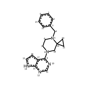 c1ccc(CN2CCN(c3ncnc4[nH]ccc34)CC23CC3)cc1